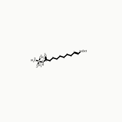 CCCCCCCCC=CCCCCCCCC(=O)N[Si](C)(C)C